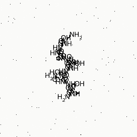 CC(C)C[C@H](NC(=O)CN)C(=O)N1C[C@H](O)C[C@H]1C(=O)NCC(=O)N[C@@H](CCC(N)=O)C(=O)N1C[C@H](O)C[C@H]1C(=O)NCC(=O)N[C@@H](CC(=O)O)C(=O)N[C@@H](CO)C(=O)NCC(=O)N1CCC[C@H]1C(=O)N[C@@H](C)C(=O)NCC(=O)N[C@@H](CCCCN)C(=O)O